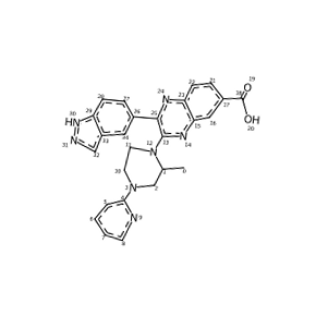 CC1CN(c2ccccn2)CCN1c1nc2cc(C(=O)O)ccc2nc1-c1ccc2[nH]ncc2c1